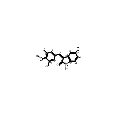 COc1c(C)cc(/C=C2\C(=O)Nc3ccc(Cl)cc32)cc1C